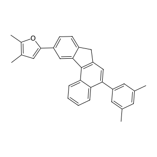 Cc1cc(C)cc(-c2cc3c(c4ccccc24)-c2cc(-c4cc(C)c(C)o4)ccc2C3)c1